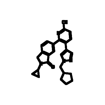 N#Cc1ccc(-c2cnn(CC3CCCC3)c2)c(-c2ccc3c(c2)C(=O)N(C2CC2)C3)n1